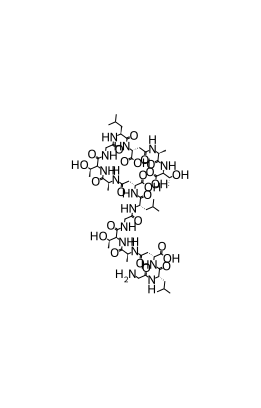 CC(C)C[C@H](NC(=O)CNC(=O)[C@@H](NC(=O)[C@H](C)NC(=O)C[C@@H](NC(=O)[C@H](CC(C)C)NC(=O)CNC(=O)[C@@H](NC(=O)[C@H](C)NC(=O)C[C@@H](NC(=O)[C@H](CC(C)C)NC(=O)CN)C(=O)O)[C@@H](C)O)C(=O)O)[C@@H](C)O)C(=O)N[C@H](CC(=O)N[C@@H](C)C(=O)N[C@H](C(=O)O)[C@@H](C)O)C(=O)O